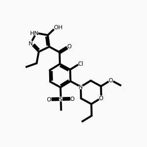 CCc1n[nH]c(O)c1C(=O)c1ccc(S(C)(=O)=O)c(N2CC(CC)OC(OC)C2)c1Cl